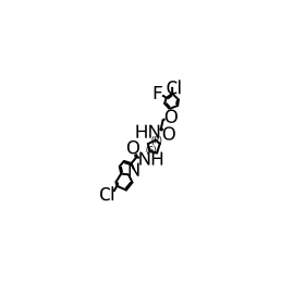 O=C(COc1ccc(Cl)c(F)c1)N[C@@H]1CC[C@H](NC(=O)c2ccc3cc(Cl)ccc3n2)C1